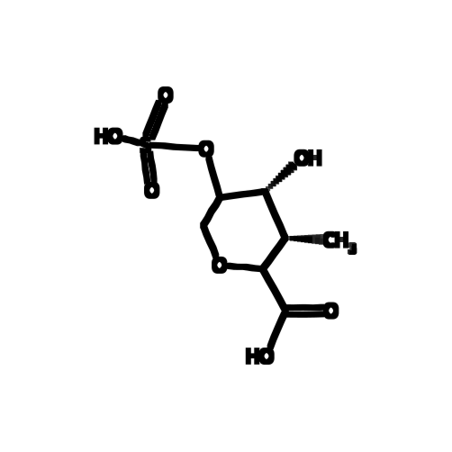 C[C@@H]1C(C(=O)O)OCC(OS(=O)(=O)O)[C@@H]1O